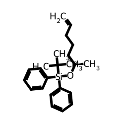 C=CCCC[C@@H](C)O[Si](c1ccccc1)(c1ccccc1)C(C)(C)C